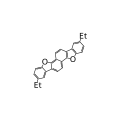 CCc1ccc2oc3c(ccc4c3ccc3c5cc(CC)ccc5oc34)c2c1